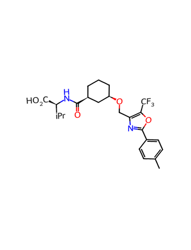 Cc1ccc(-c2nc(CO[C@@H]3CCC[C@H](C(=O)N[C@H](C(=O)O)C(C)C)C3)c(C(F)(F)F)o2)cc1